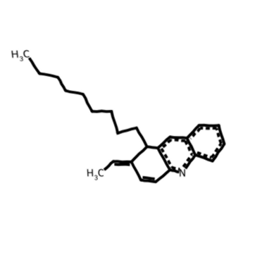 CC=C1C=Cc2nc3ccccc3cc2C1CCCCCCCCC